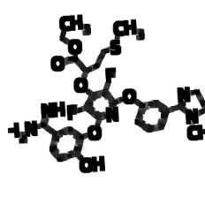 CCOC(=O)C(CCSC)Oc1c(F)c(Oc2cccc(C3=NCCN3C)c2)nc(Oc2cc(C(=N)N)ccc2O)c1F